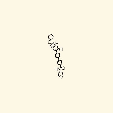 O=C(NC1CCOCC1)c1ccc(-c2ccc(-c3nc4nc(OC5CCCCC5)[nH]c4cc3Cl)cc2)cc1